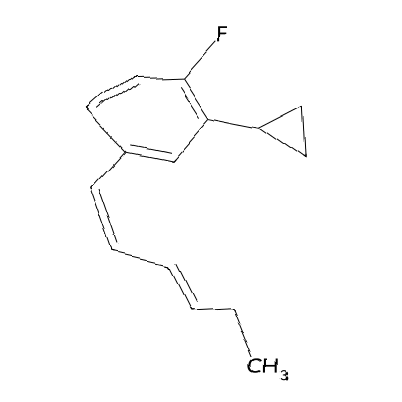 CC/C=C/C=C\c1ccc(F)c(C2CC2)c1